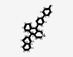 Cc1ccc(-c2ccc(-c3c4ccccc4c(-c4ccc5ccccc5c4)c4ccncc34)cc2)cc1